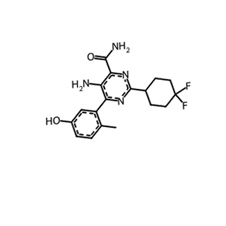 Cc1ccc(O)cc1-c1nc(C2CCC(F)(F)CC2)nc(C(N)=O)c1N